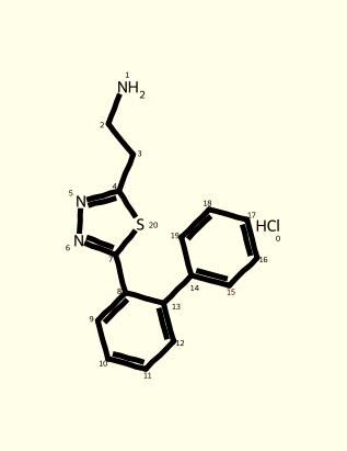 Cl.NCCc1nnc(-c2ccccc2-c2ccccc2)s1